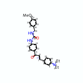 CCN(CC)c1ccc(/C=C/C(=O)c2ccc(NC(=O)NCc3ccc(OC)cc3)cc2)cc1